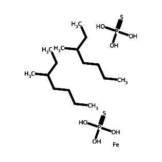 CCCCC(C)CC.CCCCC(C)CC.OP(O)(O)=S.OP(O)(O)=S.[Fe]